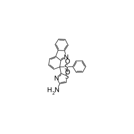 Nc1csc(C2(S(=O)(=O)c3ccccc3)C=CC=C3C2=Nc2ccccc23)n1